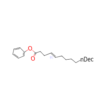 CCCCCCCCCCCCCC/C=C/CCC(=O)Oc1ccccc1